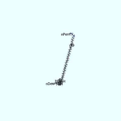 CCCCC/C=C\C/C=C\CCCCCCCC(=O)OCCCCCCCCCCCCCCCCCCCCCCCCCCCCCCCC(=O)N[C@@H](CO)[C@H](O)[C@H](O)CCCCCCCCCCCCCC